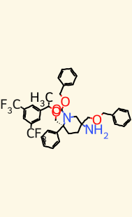 C[C@@H](OC[C@@]1(c2ccccc2)CC[C@@](N)(COCc2ccccc2)CN1C(=O)OCc1ccccc1)c1cc(C(F)(F)F)cc(C(F)(F)F)c1